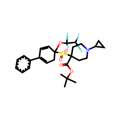 CC(C)(C)OC(=O)C1(S(=O)(=O)C2(OC(F)(F)C(F)F)C=CC(c3ccccc3)=CC2)CCN(C2CC2)CC1